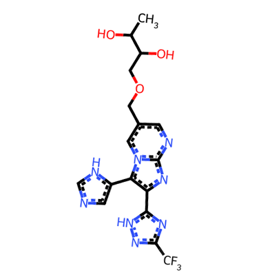 CC(O)C(O)COCc1cnc2nc(-c3nc(C(F)(F)F)n[nH]3)c(-c3cnc[nH]3)n2c1